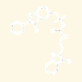 CC(C)(Cc1ccc2sn(-c3ccccc3)c(=O)c2c1)OC(=O)NCCn1sc2ccccc2c1=O